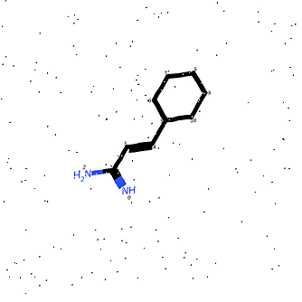 N=C(N)C=CC1CCCCC1